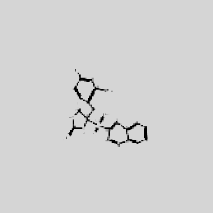 O=C1NC(=O)C(Cc2ccc(Br)cc2F)(S(=O)(=O)c2ccc3ccccc3c2)S1